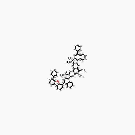 Cc1c(C)c2cc3c(cc2c2cc4c(cc12)-c1c(cc(-c2ccccc2)c2ccccc12)C4(C)C)C(C)(C)c1cc(-c2cccc4c2oc2c(-c5ccccc5)cccc24)c2ccccc2c1-3